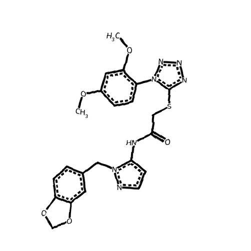 COc1ccc(-n2nnnc2SCC(=O)Nc2ccnn2Cc2ccc3c(c2)OCO3)c(OC)c1